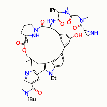 CCC(C)N(C)C(=O)c1cncc(-c2c3c4cc(ccc4n2CC)-c2cc(O)cc(c2)C[C@H](NC(=O)C(C(C)C)N(C)C(=O)CN(C)C(=O)[C@H]2CN2)C(=O)N2CCC[C@H](N2)C(=O)OCC(C)(C)C3)c1